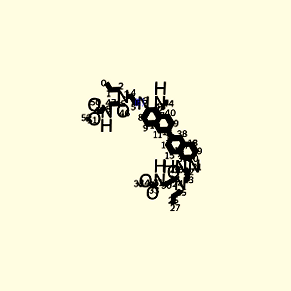 CCCN(C/C=N/c1ccc2cc(-c3ccc4c(ccc5nc(CN(CCC)C(=O)CNC(=O)OC)[nH]c54)c3)ccc2c1NC)C(=O)CNC(=O)OC